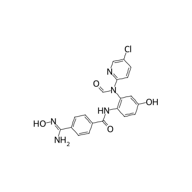 NC(=NO)c1ccc(C(=O)Nc2ccc(O)cc2N(C=O)c2ccc(Cl)cn2)cc1